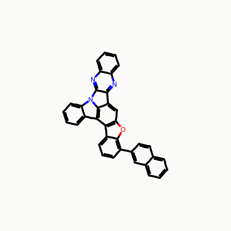 c1ccc2cc(-c3cccc4c3oc3cc5c6nc7ccccc7nc6n6c7ccccc7c(c34)c56)ccc2c1